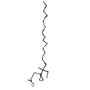 CCCCCCCCCCCCCCC(C)(CC)C(=O)CC(C)=O